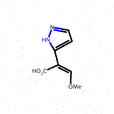 COC=C(C(=O)O)c1ccn[nH]1